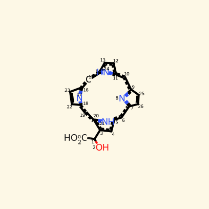 O=C(O)C(O)c1cc2cc3nc(cc4ccc(cc5nc(cc1[nH]2)C=C5)[nH]4)C=C3